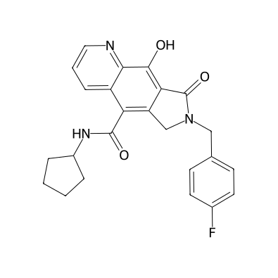 O=C(NC1CCCC1)c1c2c(c(O)c3ncccc13)C(=O)N(Cc1ccc(F)cc1)C2